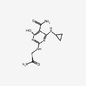 NC(=O)CNc1nc(O)c(C(N)=O)c(NC2CC2)n1